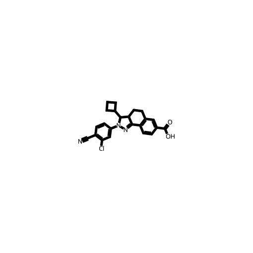 N#Cc1ccc(N2N=C3c4ccc(C(=O)O)cc4CCC3C2C2CCC2)cc1Cl